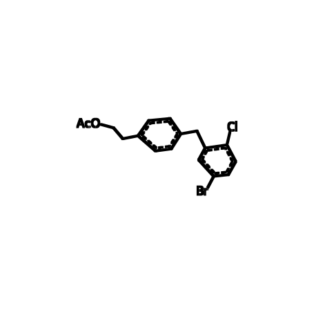 CC(=O)OCCc1ccc(Cc2cc(Br)ccc2Cl)cc1